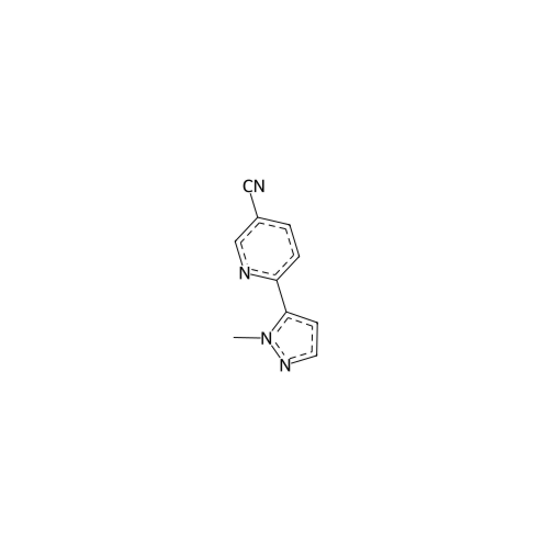 Cn1nccc1-c1ccc(C#N)cn1